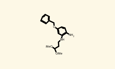 COC(CCNc1cc(OCc2ccccc2)ccc1N)OC